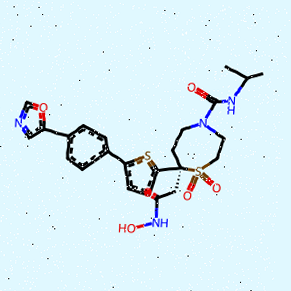 CC(C)NC(=O)N1CC[C@](CC(=O)NO)(c2ccc(-c3ccc(-c4cnco4)cc3)s2)S(=O)(=O)CC1